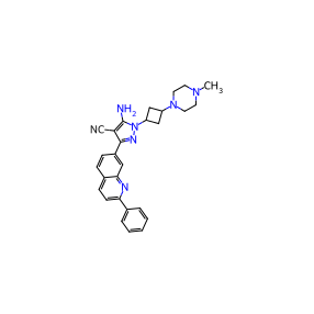 CN1CCN(C2CC(n3nc(-c4ccc5ccc(-c6ccccc6)nc5c4)c(C#N)c3N)C2)CC1